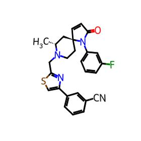 C[C@@H]1C[C@]2(C=CC(=O)N2c2cccc(F)c2)CCN1Cc1nc(-c2cccc(C#N)c2)cs1